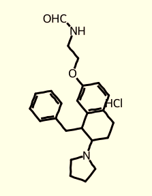 Cl.O=CNCCOc1ccc2c(c1)C(Cc1ccccc1)C(N1CCCC1)CC2